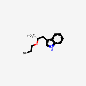 N#CCCO[C@@H](Cc1c[nH]c2ccccc12)C(=O)O